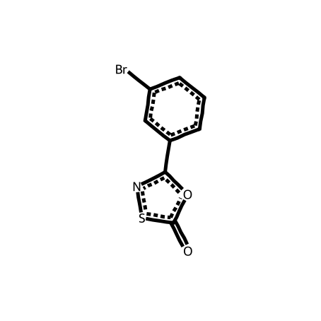 O=c1oc(-c2cccc(Br)c2)ns1